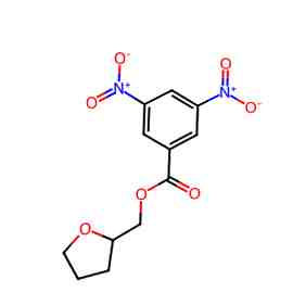 O=C(OCC1CCCO1)c1cc([N+](=O)[O-])cc([N+](=O)[O-])c1